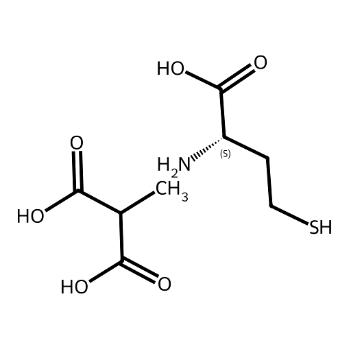 CC(C(=O)O)C(=O)O.N[C@@H](CCS)C(=O)O